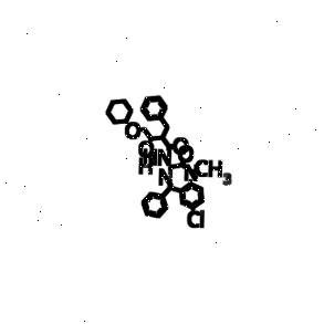 CN1C(=O)C(NC(=O)C(Cc2ccccc2)C(O)COC2CCCCC2)N=C(c2ccccc2)c2cc(Cl)ccc21